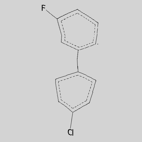 Fc1cc[c]c(-c2ccc(Cl)cc2)c1